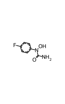 NC(=O)N(O)c1ccc(F)cc1